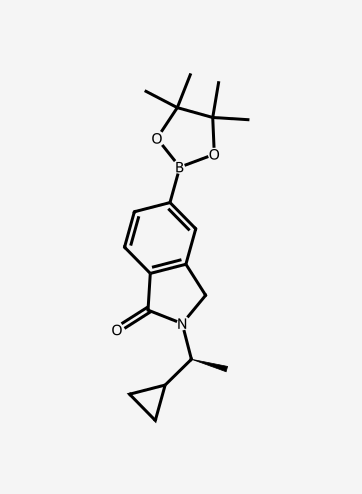 C[C@@H](C1CC1)N1Cc2cc(B3OC(C)(C)C(C)(C)O3)ccc2C1=O